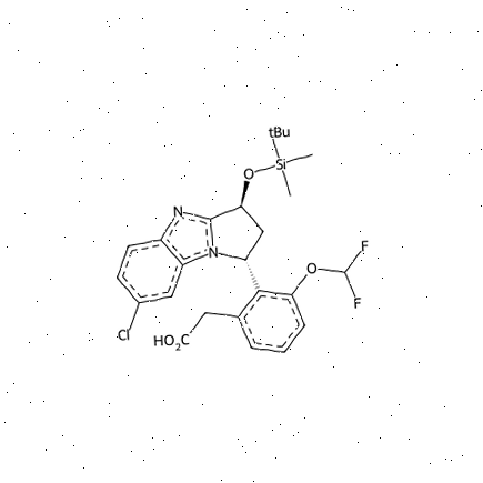 CC(C)(C)[Si](C)(C)O[C@H]1C[C@H](c2c(CC(=O)O)cccc2OC(F)F)n2c1nc1ccc(Cl)cc12